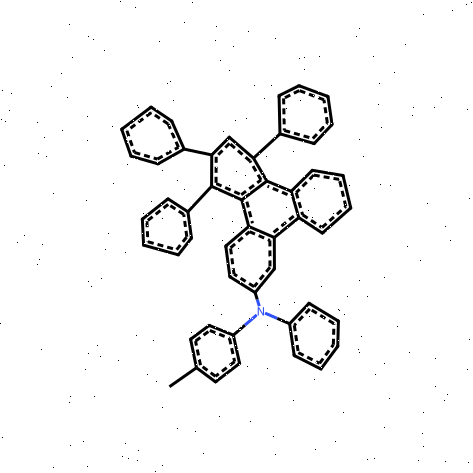 Cc1ccc(N(c2ccccc2)c2ccc3c(c2)c2ccccc2c2c(-c4ccccc4)cc(-c4ccccc4)c(-c4ccccc4)c32)cc1